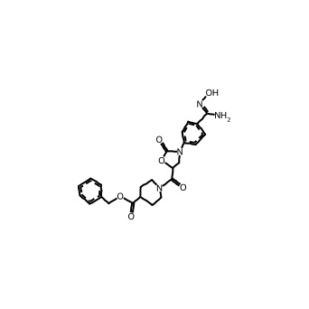 NC(=NO)c1ccc(N2CC(C(=O)N3CCC(C(=O)OCc4ccccc4)CC3)OC2=O)cc1